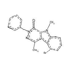 Cc1nn(-c2ccccc2)c(=O)c2c1c1c(Br)cccc1n2C